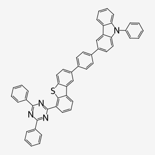 c1ccc(-c2nc(-c3ccccc3)nc(-c3cccc4c3sc3ccc(-c5ccc(-c6ccc7c(c6)c6ccccc6n7-c6ccccc6)cc5)cc34)n2)cc1